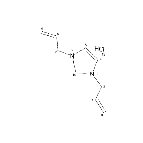 C=CCN1C=CN(CC=C)C1.Cl